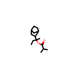 CCC(C)(OC(=O)C(C)C)C1CC2CCC1C2